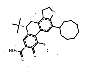 CC(C)(C)[C@@H]1Cc2c(cc(C3CCCCCCC3)c3c2CCO3)-c2c(F)c(=O)c(C(=O)O)cn21